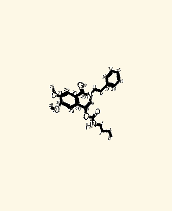 CCCCNC(=O)Oc1cn(CCc2ccccc2)c(=O)c2cc(OC)c(OC)cc12